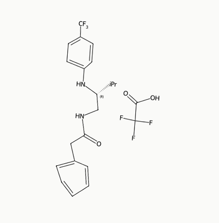 CC(C)[C@H](CNC(=O)Cc1ccccc1)Nc1ccc(C(F)(F)F)cc1.O=C(O)C(F)(F)F